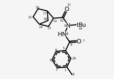 Cc1cccc(C(=O)NN(C(=O)C2CC3CCC2C3)C(C)(C)C)c1